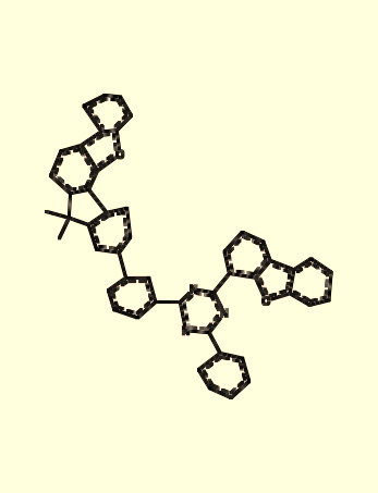 CC1(C)c2cc(-c3cccc(-c4nc(-c5ccccc5)nc(-c5cccc6c5oc5ccccc56)n4)c3)ccc2-c2c1ccc1c2oc2ccccc21